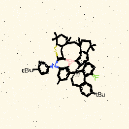 Cc1cc2c3c(c1)[C@]1(CCc4ccc(C(C)(C)C)cc4-c4c(F)cccc41)c1cc4c5cc1B3C1=C(SC3C(C1)C(C)(CCC3(C)C)CC5(C)CCC4(C)C)N2c1ccc(C(C)(C)C)cc1